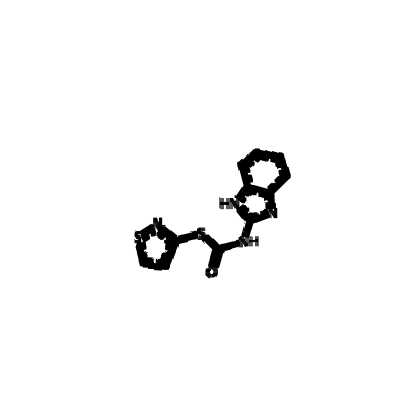 O=C(Nc1nc2ccccc2[nH]1)Sc1ccsn1